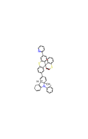 CC12C=CC(c3ccc4c(c3)C3(c5ccccc5Sc5ccccc53)c3ccc(-c5ccccn5)cc3S4)=C[C@@H]1C1=C(C=CCC1)N2c1ccccc1